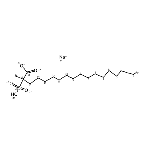 CCCCCCCCCCCCCCCCC(C)(C(=O)[O-])S(=O)(=O)O.[Na+]